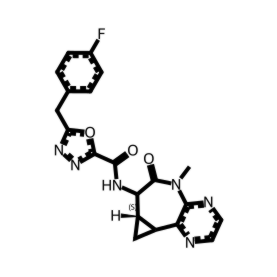 CN1C(=O)C(NC(=O)c2nnc(Cc3ccc(F)cc3)o2)[C@H]2CC2c2nccnc21